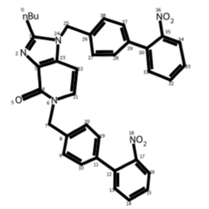 CCCCc1nc2c(=O)n(Cc3ccc(-c4ccccc4[N+](=O)[O-])cc3)ccc2n1Cc1ccc(-c2ccccc2[N+](=O)[O-])cc1